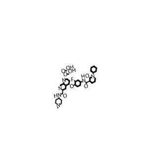 CN1CCC(NC(=O)c2cc3c(Oc4ccc(NC(=O)c5cccn(-c6ccccc6)c5=O)cc4F)ccnc3cn2)CC1.O=CO.O=CO